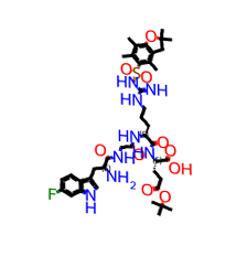 Cc1c(C)c(S(=O)(=O)NC(=N)NCCC[C@H](NC(=O)CNC(=O)[C@@H](N)Cc2c[nH]c3cc(F)ccc23)C(=O)N[C@@H](CCC(=O)OC(C)(C)C)C(=O)O)c(C)c2c1OC(C)(C)C2